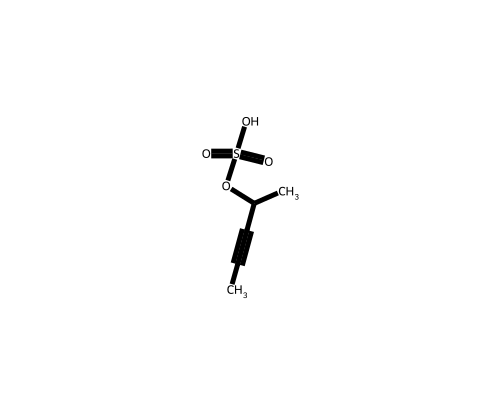 CC#CC(C)OS(=O)(=O)O